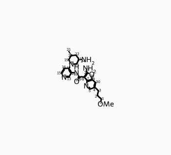 COCCCc1cnc2c(C(=O)Nc3cnccc3N3C[C@@H](C)C[C@@H](N)C3)c(N)oc2c1